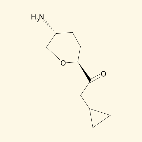 N[C@@H]1CC[C@@H](C(=O)CC2CC2)OC1